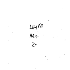 [LiH].[Mn].[Ni].[Zr]